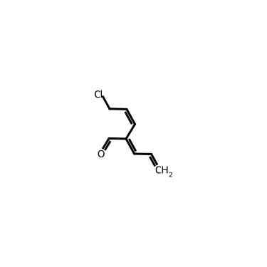 C=C/C=C(C=O)\C=C/CCl